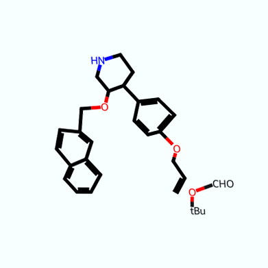 C=CCOc1ccc(C2CCNCC2OCc2ccc3ccccc3c2)cc1.CC(C)(C)OC=O